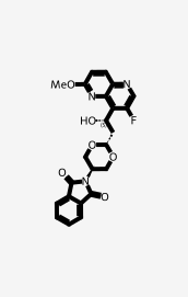 COc1ccc2ncc(F)c([C@@H](O)C[C@H]3OC[C@H](N4C(=O)c5ccccc5C4=O)CO3)c2n1